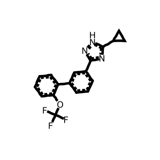 FC(F)(F)Oc1ccccc1-c1cccc(-c2n[nH]c(C3CC3)n2)c1